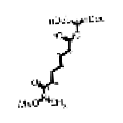 CCCCCCCCCCC(CCCCCCCCCC)OC(=O)CCCCCC(=O)N(C)OC